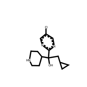 OC(CC1CC1)(c1ncc(Cl)cn1)C1CCNCC1